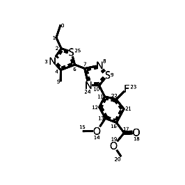 CCc1nc(C)c(-c2nsc(-c3cc(OC)c(C(=O)OC)cc3F)n2)s1